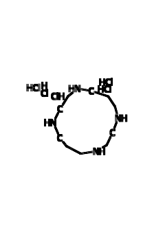 C1CNCCNCCCNCCNC1.Cl.Cl.Cl.Cl.Cl